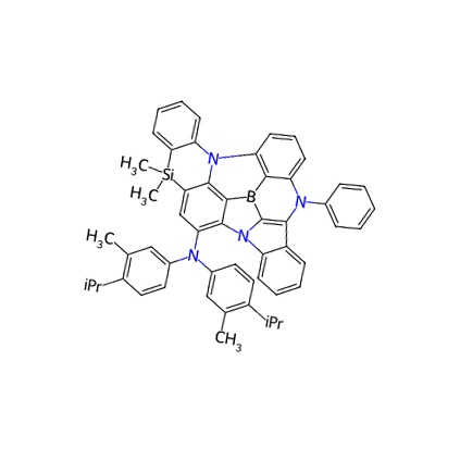 Cc1cc(N(c2ccc(C(C)C)c(C)c2)c2cc3c4c5c2-n2c6c(c7ccccc72)N(c2ccccc2)c2cccc(c2B56)N4c2ccccc2[Si]3(C)C)ccc1C(C)C